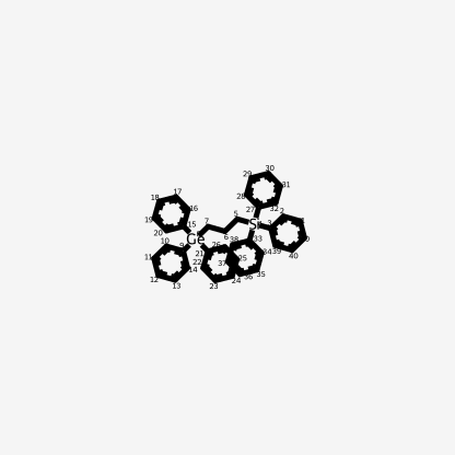 c1ccc([Si](CC[CH2][Ge]([c]2ccccc2)([c]2ccccc2)[c]2ccccc2)(c2ccccc2)c2ccccc2)cc1